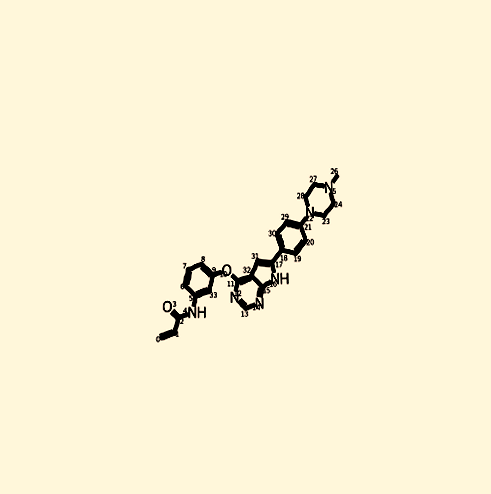 C=CC(=O)Nc1cccc(Oc2ncnc3[nH]c(-c4ccc(N5CCN(C)CC5)cc4)cc23)c1